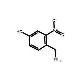 NCc1ccc(O)cc1[N+](=O)[O-]